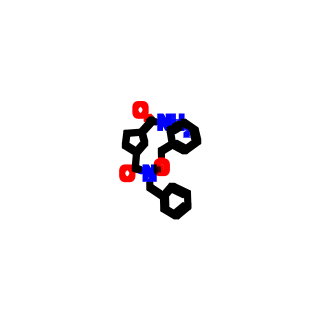 NC(=O)C1CCC(C(=O)N(Cc2ccccc2)OCc2ccccc2)C1